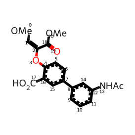 CO/C=C(/Oc1ccc(-c2cccc(NC(C)=O)c2)cc1C(=O)O)C(=O)OC